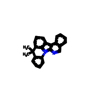 CC1(C)c2ccccc2-n2c3ncc4ccccc4c3c3cccc1c32